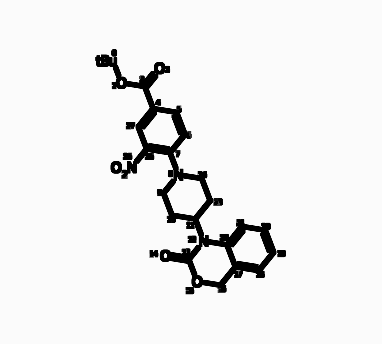 CC(C)(C)OC(=O)c1ccc(N2CCC(N3C(=O)OCc4ccccc43)CC2)c([N+](=O)[O-])c1